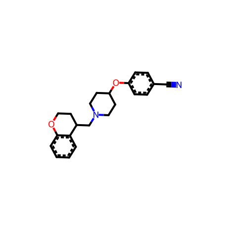 N#Cc1ccc(OC2CCN(CC3CCOc4ccccc43)CC2)cc1